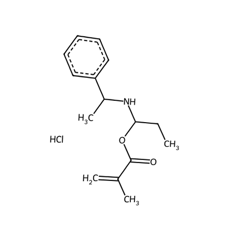 C=C(C)C(=O)OC(CC)NC(C)c1ccccc1.Cl